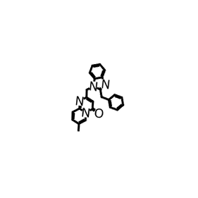 Cc1ccc2nc(Cn3c(Cc4ccccc4)nc4ccccc43)cc(=O)n2c1